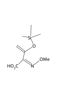 C=C(O[Si](C)(C)C)C(=NOC)C(=O)O